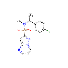 CCN([C@H](c1ccc(F)cc1)C(F)(F)F)S(=O)(=O)c1cc2ncccn2n1